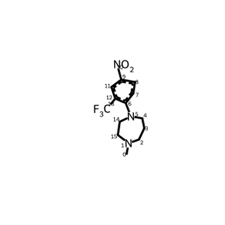 CN1CCCN(c2ccc([N+](=O)[O-])cc2C(F)(F)F)CC1